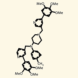 COc1cc(-c2cncc(CN3CCC(N(Cc4ccnc(-c5cc(OC)c(OC)c(OC)c5)c4)c4ccc(C)cc4)CC3)c2)cc(OC)c1OC